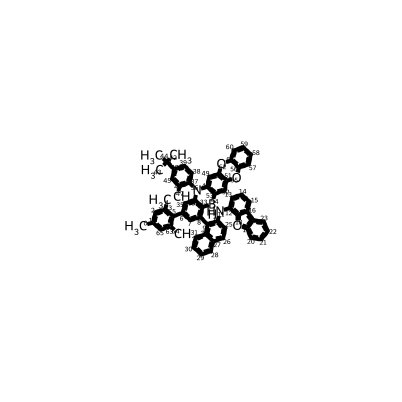 Cc1cc(C)c(-c2cc(-c3c(Nc4cccc5c4oc4ccccc45)ccc4ccccc34)c3c(c2)N(c2ccc(C(C)(C)C)cc2C)c2cc4c(cc2B3)Oc2ccccc2O4)c(C)c1